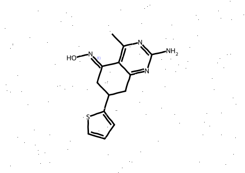 Cc1nc(N)nc2c1/C(=N/O)CC(c1cccs1)C2